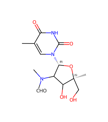 Cc1cn([C@@H]2O[C@@](C)(CO)C(O)C2N(C)C=O)c(=O)[nH]c1=O